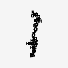 Cc1ncsc1-c1ccc([C@H](C)NC(=O)[C@@H]2C[C@@H](O)CN2C(=O)C(NC(=O)CN2CCN(CCN3CCN(c4ccc(C(=O)NC5C(C)(C)C(Oc6ccc(C#N)c(Cl)c6)C5(C)C)cn4)CC3)CC2)C(C)(C)C)cc1